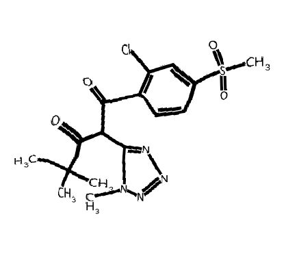 Cn1nnnc1C(C(=O)c1ccc(S(C)(=O)=O)cc1Cl)C(=O)C(C)(C)C